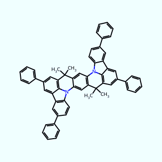 CC1(C)c2cc3c(cc2-n2c4ccc(-c5ccccc5)cc4c4cc(-c5ccccc5)cc1c42)C(C)(C)c1cc(-c2ccccc2)cc2c4cc(-c5ccccc5)ccc4n-3c12